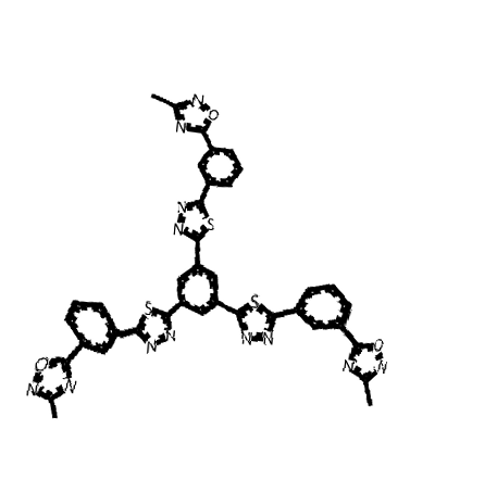 Cc1noc(-c2cccc(-c3nnc(-c4cc(-c5nnc(-c6cccc(-c7nc(C)no7)c6)s5)cc(-c5nnc(-c6cccc(-c7nc(C)no7)c6)s5)c4)s3)c2)n1